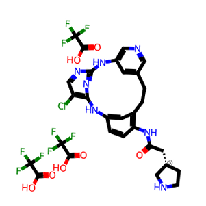 O=C(C[C@@H]1CCNC1)Nc1ccc2cc1CCc1cncc(c1)Nc1ncc(Cl)c(n1)N2.O=C(O)C(F)(F)F.O=C(O)C(F)(F)F.O=C(O)C(F)(F)F